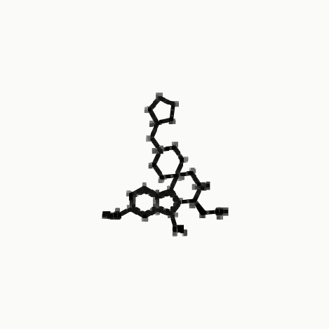 COc1ccc2c3c(n(C)c2c1)[C@H](CO)NCC31CCN(CC2CCCC2)CC1